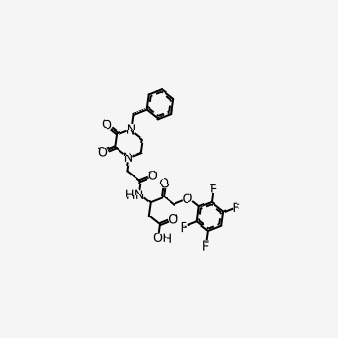 O=C(O)CC(NC(=O)CN1CCN(Cc2ccccc2)C(=O)C1=O)C(=O)COc1c(F)c(F)cc(F)c1F